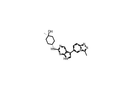 Cc1nnc2ccc(-c3c[nH]c4nc(N[C@H]5CC[C@](C)(O)CC5)ncc34)cn12